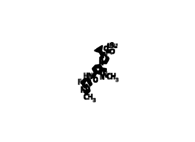 Cc1cn2cc(NC(=O)c3ccc(N4CCN(C(=O)OC(C)(C)C)C(C5CC5)C4)c4cn(C)nc34)cc(F)c2n1